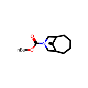 C=C1C2CCCCC1CN(C(=O)OCCCC)C2